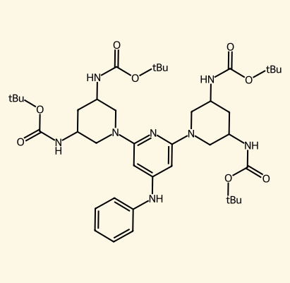 CC(C)(C)OC(=O)NC1CC(NC(=O)OC(C)(C)C)CN(c2cc(Nc3ccccc3)cc(N3CC(NC(=O)OC(C)(C)C)CC(NC(=O)OC(C)(C)C)C3)n2)C1